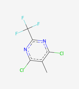 Cc1c(Cl)nc(C(F)(F)F)nc1Cl